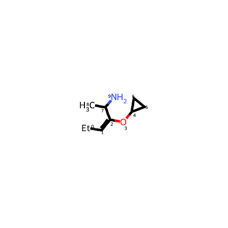 CC/C=C(/OC1CC1)C(C)N